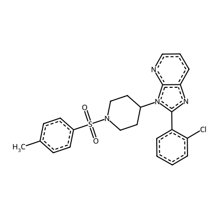 Cc1ccc(S(=O)(=O)N2CCC(n3c(-c4ccccc4Cl)nc4cccnc43)CC2)cc1